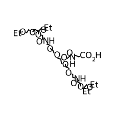 CCOCCOCC(COCC)OCC(=O)NCCOCCOCC(COCCOCCNC(=O)COC(CC)COCC)OCC(=O)NCCC(=O)O